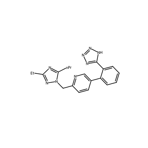 CCCc1nc(CC)nn1Cc1ccc(-c2ccccc2-c2nnn[nH]2)cn1